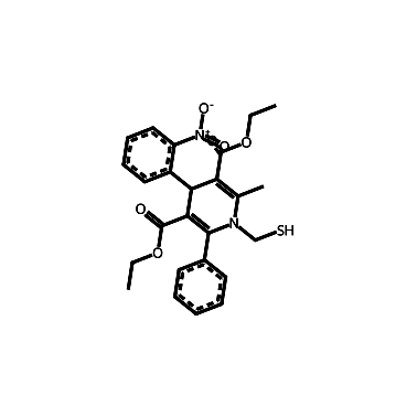 CCOC(=O)C1=C(C)N(CS)C(c2ccccc2)=C(C(=O)OCC)C1c1ccccc1[N+](=O)[O-]